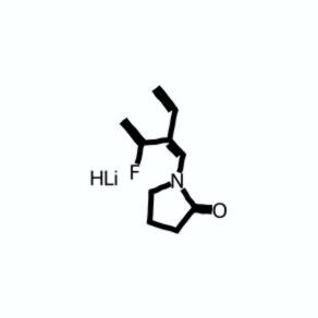 C=CC(=CN1CCCC1=O)C(=C)F.[LiH]